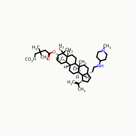 C=C(C)[C@@H]1CC[C@]2(CCNC3CCN(C)CC3)CC[C@]3(C)[C@H](CC[C@@H]4[C@@]5(C)CC[C@H](OC(=O)CC(C)(C)CC(=O)O)C(C)(C)[C@@H]5CC[C@]43C)[C@@H]12